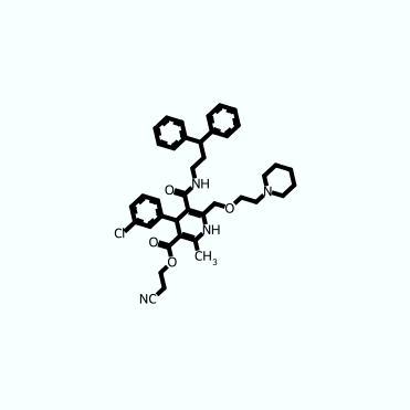 CC1=C(C(=O)OCCC#N)C(c2cccc(Cl)c2)C(C(=O)NCCC(c2ccccc2)c2ccccc2)=C(COCCN2CCCCC2)N1